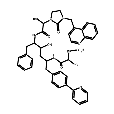 CC(C)(C)C(NC(=O)O)C(=O)NC(Cc1ccc(-c2ccccn2)cc1)CC(O)C(Cc1ccccc1)NC(=O)C(N1CCN(Cc2ccnc3ccccc23)C1=O)C(C)(C)C